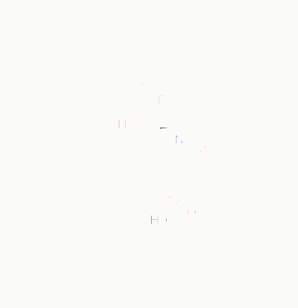 CS(=O)(=O)CCCCN1C(=O)CC[C@@H]1C=C(F)C(O)C(F)c1ccccc1